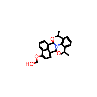 CC(C)c1cccc(C(C)C)c1N1C(=O)c2cccc3c(OCO)ccc(c23)C1=O